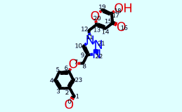 O=Cc1cccc(OCc2cn(Cc3cc(=O)c(O)co3)nn2)c1